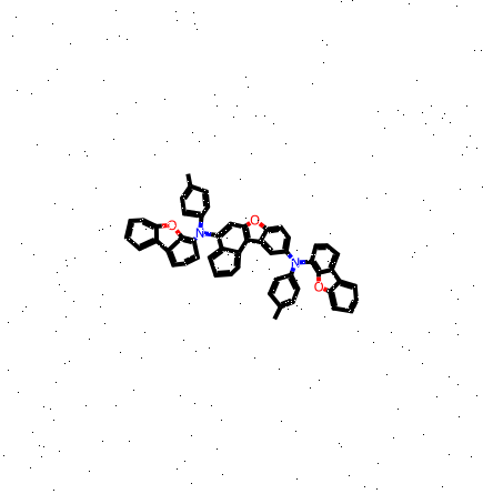 Cc1ccc(N(c2ccc3oc4cc(N(c5ccc(C)cc5)c5cccc6c5oc5ccccc56)c5ccccc5c4c3c2)c2cccc3c2oc2ccccc23)cc1